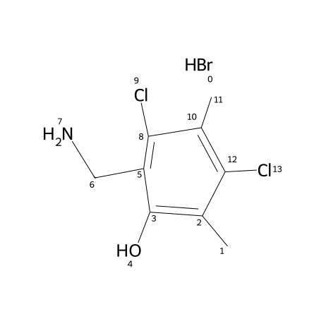 Br.Cc1c(O)c(CN)c(Cl)c(C)c1Cl